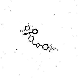 CS(=O)(=O)c1ccc(N2CC(CN3CCC(C(C#N)(c4ccccc4)[C@H]4CCC[C@@H]4O)CC3)C2)cc1